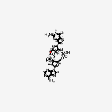 CO[C@H]1[C@H]2OP(=O)(O)OC[C@H]3O[C@@H](n4cnc5c(N)ncnc54)[C@H](F)[C@@H]3P(=O)(O)OC[C@H]1O[C@H]2c1snc2c(=O)[nH]c(N)nc12